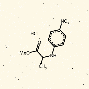 COC(=O)[C@H](C)Nc1ccc([N+](=O)[O-])cc1.Cl